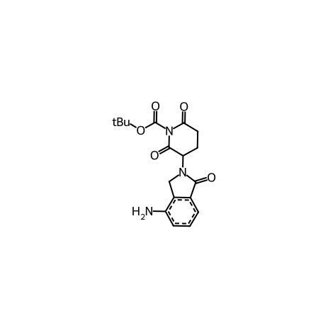 CC(C)(C)OC(=O)N1C(=O)CCC(N2Cc3c(N)cccc3C2=O)C1=O